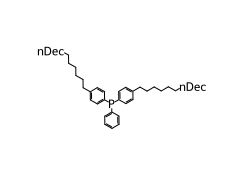 CCCCCCCCCCCCCCCCc1ccc(P(c2ccccc2)c2ccc(CCCCCCCCCCCCCCCC)cc2)cc1